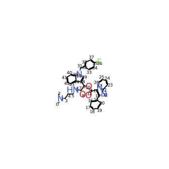 CN(C)CCCNC(=O)C(OC(=O)c1c(-c2ccccc2)nc2ccccn12)c1cn(Cc2ccc(F)cc2)c2ccccc12